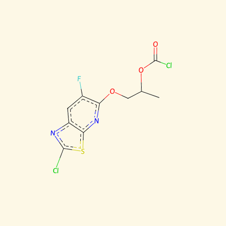 CC(COc1nc2sc(Cl)nc2cc1F)OC(=O)Cl